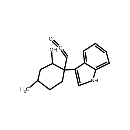 CC1CCC(C=C=O)(c2c[nH]c3ccccc23)C(O)C1